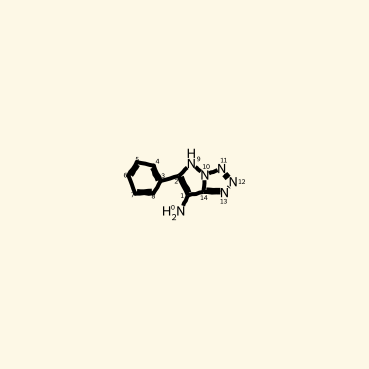 Nc1c(-c2ccccc2)[nH]n2nnnc12